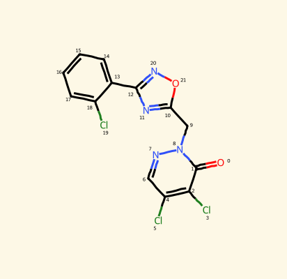 O=c1c(Cl)c(Cl)cnn1Cc1nc(-c2ccccc2Cl)no1